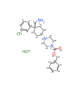 Cl.NC[C@]1(c2cccc(Cl)c2)CC[C@@H](N2CCN(C(=O)OCc3ccccc3)CC2)CC1